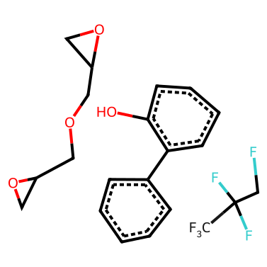 C(OCC1CO1)C1CO1.FCC(F)(F)C(F)(F)F.Oc1ccccc1-c1ccccc1